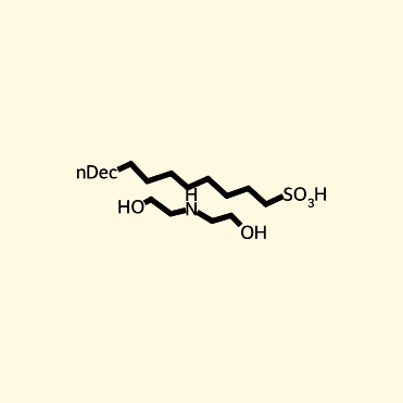 CCCCCCCCCCCCCCCCCCS(=O)(=O)O.OCCNCCO